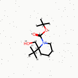 CC(C)(C)OC(=O)N1CCCCC1(CO)C(C)(C)C